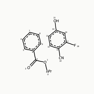 CCCOC(=O)c1ccccc1.N#Cc1ccc(O)cc1F